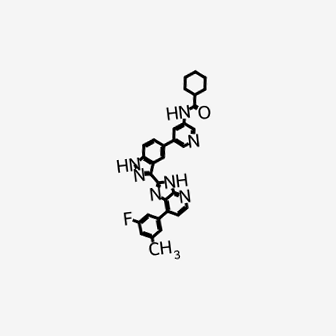 Cc1cc(F)cc(-c2ccnc3[nH]c(-c4n[nH]c5ccc(-c6cncc(NC(=O)C7CCCCC7)c6)cc45)nc23)c1